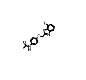 CC(=O)Nc1ccc(OCc2nc3cccc(F)c3s2)cc1